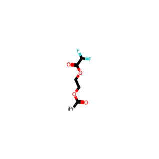 CC(C)C(=O)OCCOC(=O)C(F)F